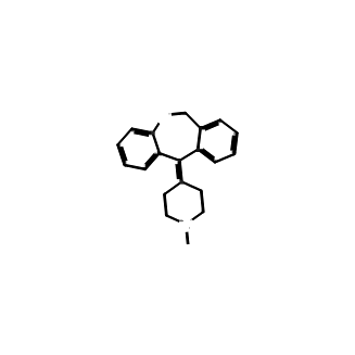 CN1CCC(=C2c3ccccc3COc3ccccc32)CC1